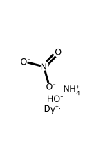 O=[N+]([O-])[O-].[Dy+].[NH4+].[OH-]